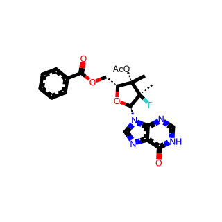 CC(=O)O[C@@]1(C)[C@@H](COC(=O)c2ccccc2)O[C@@H](n2cnc3c(=O)[nH]cnc32)[C@]1(C)F